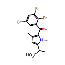 Cc1cc(C(C)C(=O)O)n(C)c1C(=O)c1cc(Br)cc(Br)c1Br